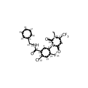 Cn1c(C(F)(F)F)cc(=O)n(-c2cc(C(=O)NCc3ccccc3)c(Cl)cc2F)c1=O